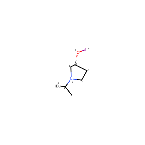 CCC(C)C(C)N1CC[C@@H](OI)C1